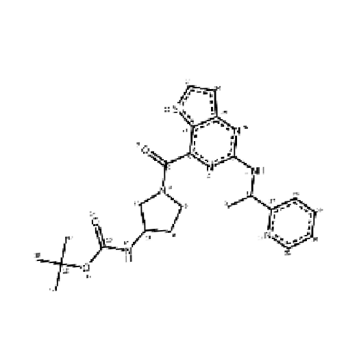 CC(Nc1nc(C(=O)N2CCC(NC(=O)OC(C)(C)C)C2)c2sccc2n1)c1ccccn1